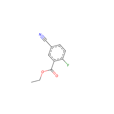 CCOC(=O)c1cc(C#N)ccc1F